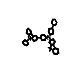 CC1(C)c2ccccc2-c2ccc(N(c3ccc(C4=CCCC=C4)cc3)c3ccc(-c4ccc5c(c4)c4ccccc4n5-c4ccccc4)cc3)cc21